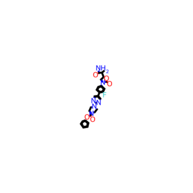 CC(C(N)=O)C1CN(c2ccc(-c3cnc(N4CCN(C(=O)Oc5ccccc5)CC4)nc3)c(F)c2)C(=O)O1